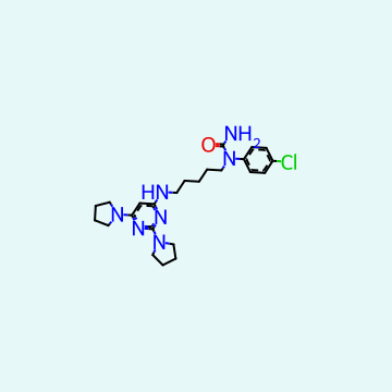 NC(=O)N(CCCCCNc1cc(N2CCCC2)nc(N2CCCC2)n1)c1ccc(Cl)cc1